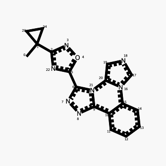 CC1(c2noc(-c3nnc4c5ccccc5n5cncc5n34)n2)CC1